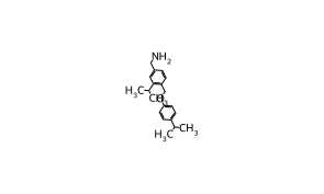 CC(C)c1ccc(OCc2ccc(CN)cc2C(C)C)cc1